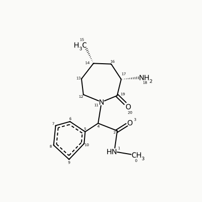 CNC(=O)C(c1ccccc1)N1CC[C@H](C)C[C@H](N)C1=O